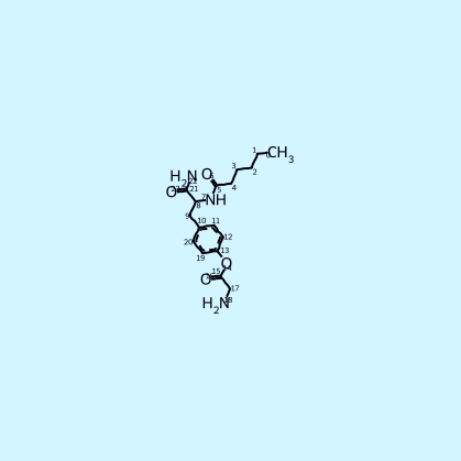 CCCCCC(=O)NC(Cc1ccc(OC(=O)CN)cc1)C(N)=O